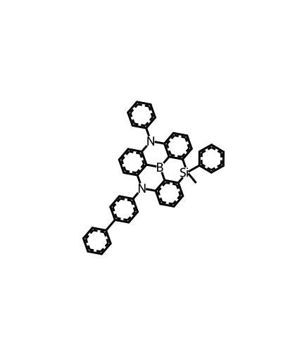 C[Si]1(c2ccccc2)c2cccc3c2B2c4c(cccc4N(c4ccc(-c5ccccc5)cc4)c4cccc1c42)N3c1ccccc1